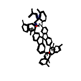 C=C(C)/C=C\C=C(/C)N(c1cccc(C)c1)c1ccc2c(c1)C1(c3cc(N(c4cccc(C)c4)c4cccc(C)c4)ccc3-2)c2cc(N(c3cccc(C)c3)c3cccc(C)c3)ccc2-c2ccc(N(c3cccc(C)c3)[C@H]3C=CC=C(C)C3)cc21